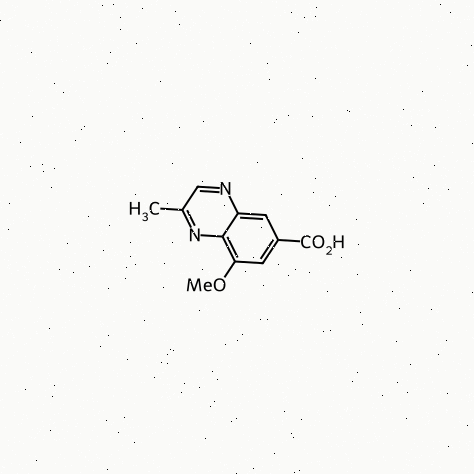 COc1cc(C(=O)O)cc2ncc(C)nc12